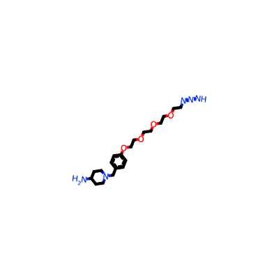 N=[N+]=NCCOCCOCCOCCOc1ccc(CN2CCC(N)CC2)cc1